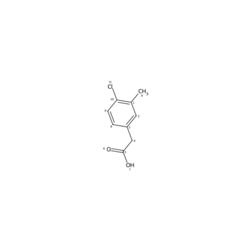 Cc1cc(CC(=O)O)ccc1Cl